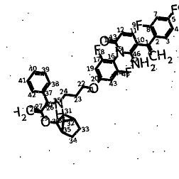 C=C(c1ccc(F)cc1F)c1ccc(=O)n(-c2c(F)cc(OCCCN[C@@H](C(=C)OC3CC4CCC3C4)c3ccccc3)cc2F)c1N